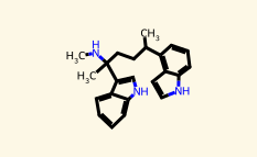 CNC(C)(CCC(C)c1cccc2[nH]ccc12)c1c[nH]c2ccccc12